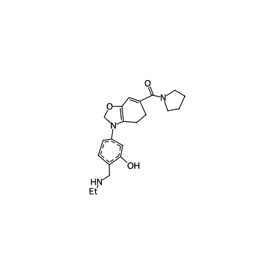 CCNCc1ccc(N2COC3=C2CCC(C(=O)N2CCCC2)=C3)cc1O